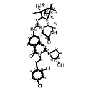 C[C@@H]1C(/N=C(/Nc2ccc3c(=O)n(CCc4ccc(Cl)cc4Cl)c(N4CC[C@H](O)C4)nc3c2)N2CC(=O)N[C@@H](C)C2)C[C@H]2C[C@@H]1C2(C)C